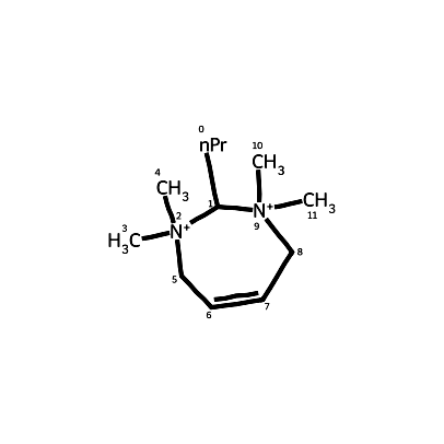 CCCC1[N+](C)(C)CC=CC[N+]1(C)C